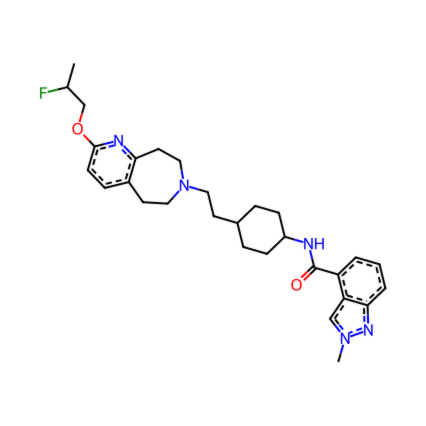 CC(F)COc1ccc2c(n1)CCN(CCC1CCC(NC(=O)c3cccc4nn(C)cc34)CC1)CC2